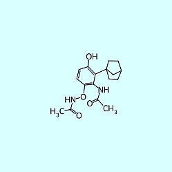 CC(=O)NOc1ccc(O)c(C23CCC(CC2)C3)c1NC(C)=O